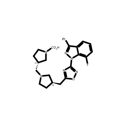 CC(C)c1nn(-c2noc(C[C@H]3CCN(C[C@@H]4CCN(C(=O)O)C4)C3)n2)c2c(F)cccc12